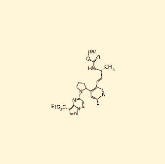 CCOC(=O)c1cnn2ccc(N3CCCC3c3cc(F)ncc3/C=C/[C@@H](C)NC(=O)OC(C)(C)C)nc12